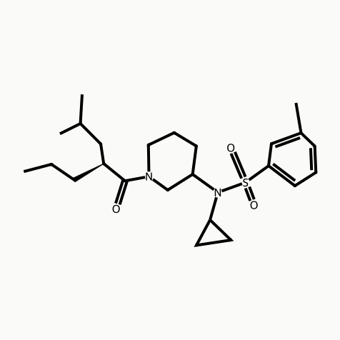 CCC[C@@H](CC(C)C)C(=O)N1CCCC(N(C2CC2)S(=O)(=O)c2cccc(C)c2)C1